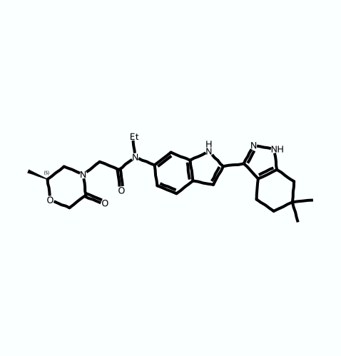 CCN(C(=O)CN1C[C@H](C)OCC1=O)c1ccc2cc(-c3n[nH]c4c3CCC(C)(C)C4)[nH]c2c1